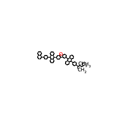 C=C/C(=C(C)\C=C/C)c1ccc(-c2c3ccccc3c(-c3ccc4oc5cc(-c6c7ccccc7c(-c7ccc(-c8cccc9ccccc89)cc7)c7ccccc67)ccc5c4c3)c3ccccc23)cc1